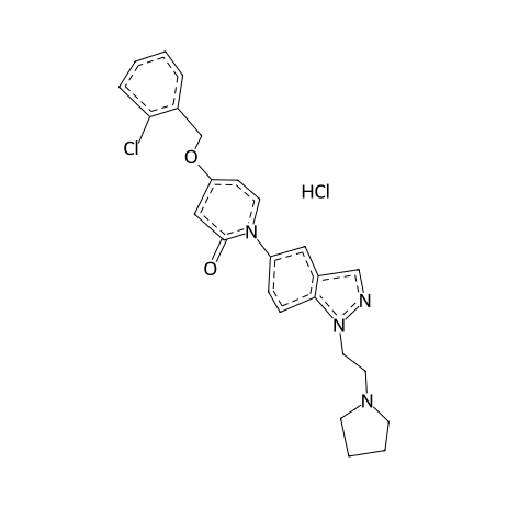 Cl.O=c1cc(OCc2ccccc2Cl)ccn1-c1ccc2c(cnn2CCN2CCCC2)c1